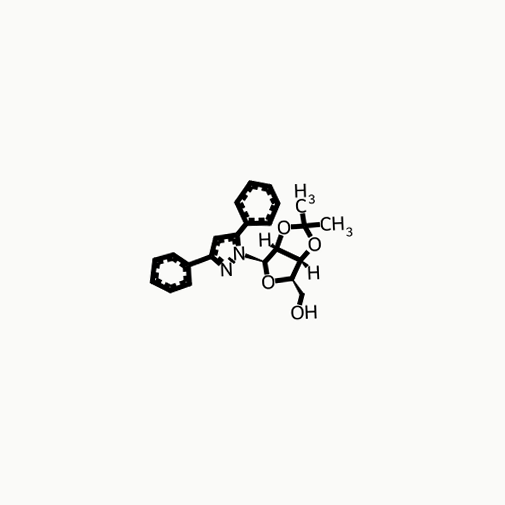 CC1(C)O[C@@H]2[C@H](O1)[C@@H](CO)O[C@H]2n1nc(-c2ccccc2)cc1-c1ccccc1